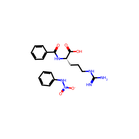 N=C(N)NCCC[C@H](NC(=O)c1ccccc1)C(=O)O.O=[N+]([O-])Nc1ccccc1